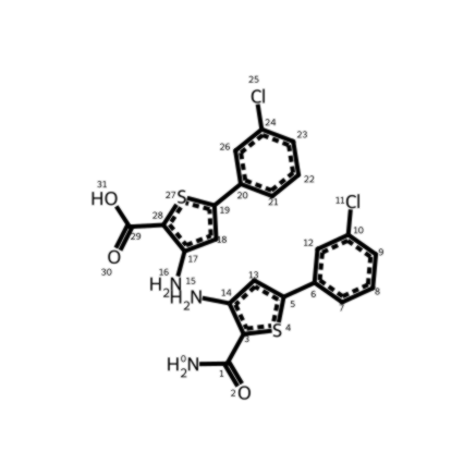 NC(=O)c1sc(-c2cccc(Cl)c2)cc1N.Nc1cc(-c2cccc(Cl)c2)sc1C(=O)O